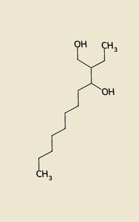 CCCCCCCCC(O)C(CC)CO